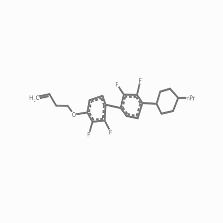 C=CCCOc1ccc(-c2ccc(C3CCC(CCC)CC3)c(F)c2F)c(F)c1F